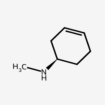 CN[C@H]1CC=CCC1